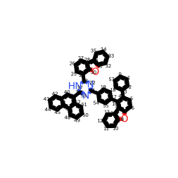 c1ccc(-c2ccc3oc4ccccc4c3c2-c2ccc(C3=NC(c4cccc5c4oc4ccccc45)NC(c4cc5ccccc5c5ccccc45)=N3)cc2)cc1